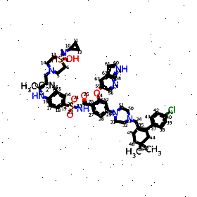 C[C@@H](CCN1CC[SH](O)(=NC2CC2)CC1)Nc1ccc(S(=O)(=O)NC(=O)c2ccc(N3CCN(CC4=C(c5ccc(Cl)cc5)CC(C)(C)CC4)CC3)cc2Oc2cnc3[nH]ccc3c2)cc1[N+](=O)[O-]